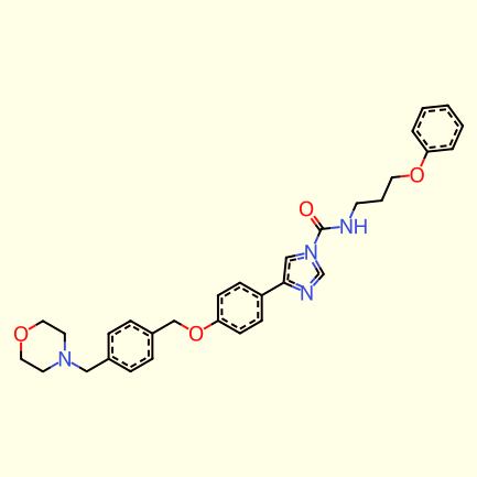 O=C(NCCCOc1ccccc1)n1cnc(-c2ccc(OCc3ccc(CN4CCOCC4)cc3)cc2)c1